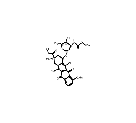 COc1cccc2c1C(=O)c1c(O)c3c(c(O)c1C2=O)C[C@](O)(C(=O)CO)C[C@H]3O[C@@H]1C[C@H](NC(=O)OC(C)(C)C)[C@H](O)[C@H](C)O1